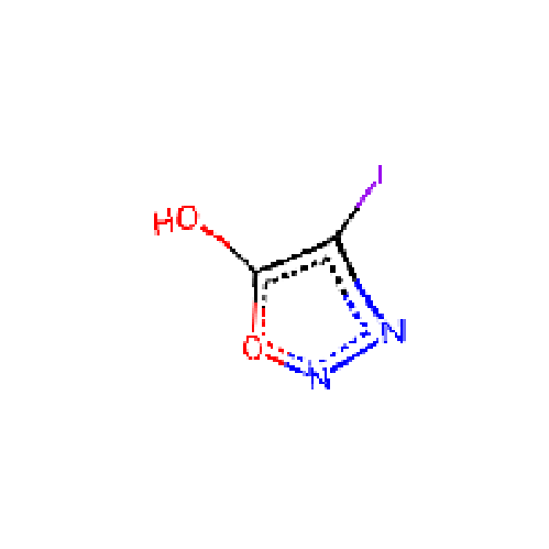 Oc1onnc1I